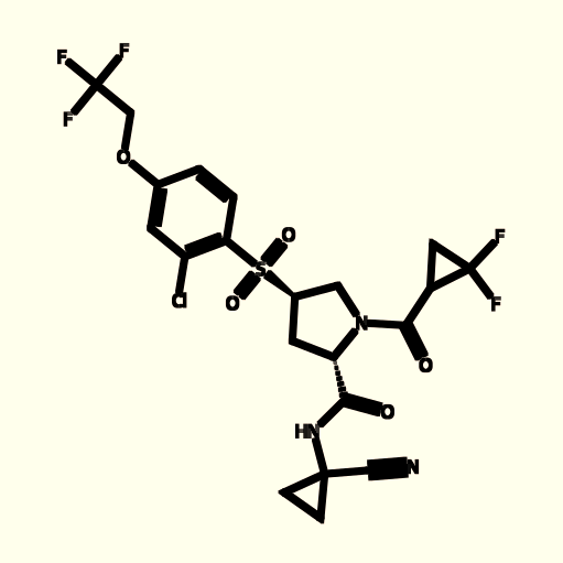 N#CC1(NC(=O)[C@@H]2C[C@@H](S(=O)(=O)c3ccc(OCC(F)(F)F)cc3Cl)CN2C(=O)C2CC2(F)F)CC1